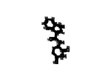 O=C1CCC(NC(=O)c2n[nH]c3cccnc23)C(=O)N1